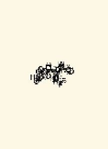 O=C1CCC(N2C(=O)c3cccc(Nc4cc5cnn(C6CCOCC6)c5cc4-c4ccnc(C(F)F)c4)c3C2=O)C(=O)N1